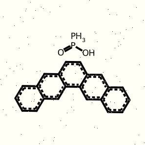 O=PO.P.c1ccc2cc3c(ccc4cc5ccccc5cc43)cc2c1